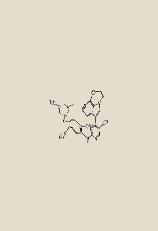 CCOC[C@H](CN(C)C)Oc1cc(OC)c(Nc2ncc(Cl)c(-c3cn4c5c(cccc35)OCC4)n2)cc1[N+](=O)[O-]